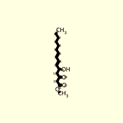 CCCCCC/C=C/C=C/C(O)CC(=O)CC(=O)OC